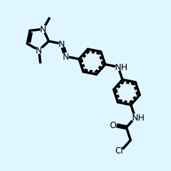 CN1C=CN(C)C1/N=N/c1ccc(Nc2ccc(NC(=O)CCl)cc2)cc1